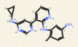 Cc1ccc(N)cc1Nc1ncccc1-c1cc(NC2CC2)ncn1